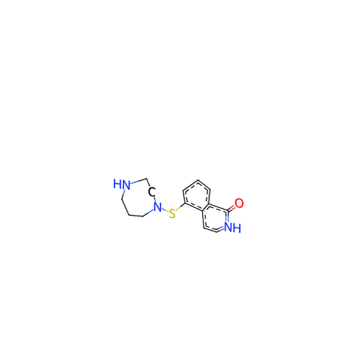 O=c1[nH]ccc2c(SN3CCCNCC3)cccc12